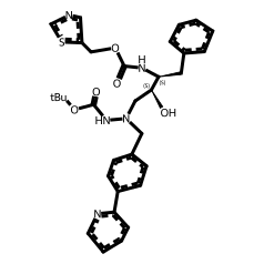 CC(C)(C)OC(=O)NN(Cc1ccc(-c2ccccn2)cc1)C[C@H](O)[C@H](Cc1ccccc1)NC(=O)OCc1cncs1